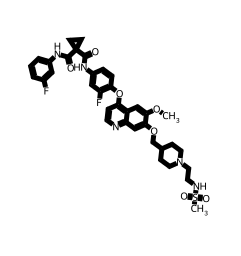 COc1cc2c(Oc3ccc(NC(=O)C4(C(=O)Nc5cccc(F)c5)CC4)cc3F)ccnc2cc1OCC1CCN(CCNS(C)(=O)=O)CC1